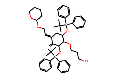 C=C1C(=CCOC2CCCCO2)CC(O[Si](c2ccccc2)(c2ccccc2)C(C)(C)C)C(OCCCO)C1O[Si](c1ccccc1)(c1ccccc1)C(C)(C)C